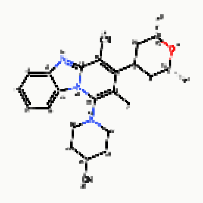 Cc1c(C2C[C@@H](C)O[C@@H](C)C2)c(C#N)c2nc3ccccc3n2c1N1CCC(C#N)CC1